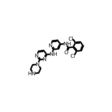 O=C(Nc1ccnc(Nc2ccnc(N3CCNCC3)n2)c1)c1c(Cl)cccc1Cl